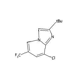 CC(C)(C)c1cn2cc(C(F)(F)F)cc(Cl)c2n1